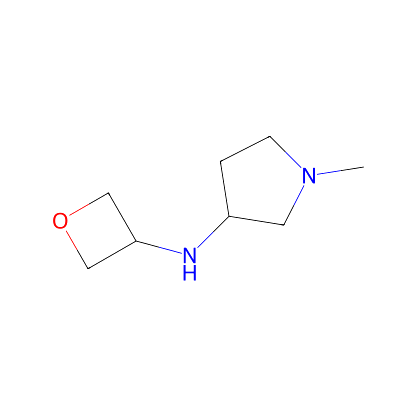 CN1CCC(NC2COC2)C1